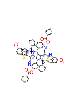 COc1ccc2sc(/C(C#N)=c3/c4c(-c5ccc(OC(=O)c6ccccc6)cc5)n(B(c5ccccc5)c5ccccc5)/c(=C(/C#N)c5nc6cc(OC)ccc6s5)c4c(-c4ccc(OC(=O)c5ccccc5)cc4)n3B(c3ccccc3)c3ccccc3)nc2c1